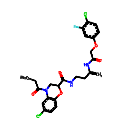 C=C(CCNC(=O)C1CN(C(=O)COC)c2cc(Cl)ccc2O1)NC(=O)COc1ccc(Cl)c(F)c1